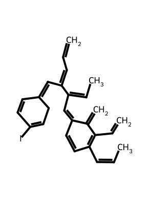 C=C/C=C(\C=C1\C=CC(I)=CC1)C(=CC)/C=c1/ccc(/C=C\C)c(C=C)c1=C